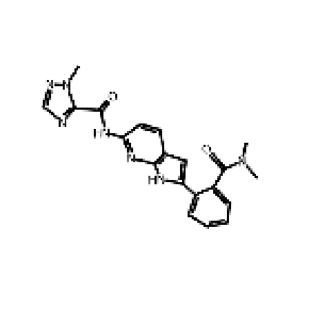 CN(C)C(=O)c1ccccc1-c1cc2ccc(NC(=O)c3ncnn3C)nc2[nH]1